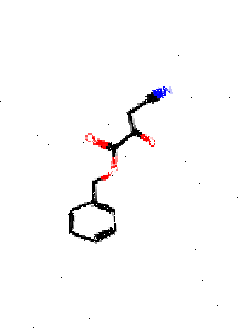 N#CCC(=O)C(=O)OCc1ccccc1